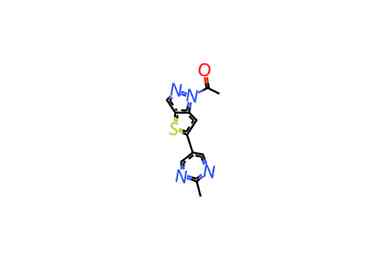 CC(=O)n1ncc2sc(-c3cnc(C)nc3)cc21